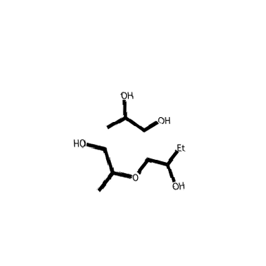 CC(O)CO.CCC(O)COC(C)CO